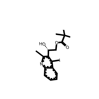 Cc1nc2ccccc2c(I)c1[C@H](O)COC(=O)C(C)(C)C